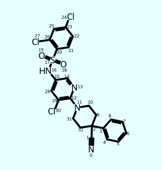 N#CC1(c2ccccc2)CCN(c2ncc(NS(=O)(=O)c3ccc(Cl)cc3Cl)cc2Cl)CC1